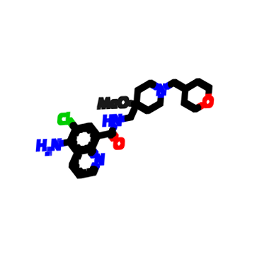 COC1(CNC(=O)c2cc(Cl)c(N)c3cccnc23)CCN(CC2CCOCC2)CC1